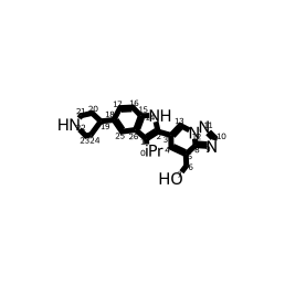 CC(C)c1c(-c2cc(CO)c3ncnn3c2)[nH]c2ccc(C3CCNCC3)cc12